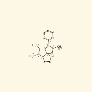 CC1C2C(c3ccccc3)N(C)OC23CCCC3N1C